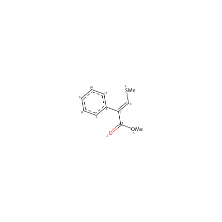 COC(=O)/C(=C/SC)c1ccccc1